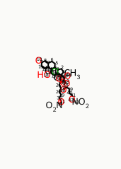 C[C@H]1CC2C3CCC4=CC(=O)C=C[C@]4(C)[C@@]3(Cl)[C@@H](O)C[C@]2(C)[C@@]1(OC(=O)CCCCCO[N+](=O)[O-])C(=O)COC(=O)CCCO[N+](=O)[O-]